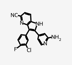 N#Cc1ccc2[nH]c(-c3ccnc(N)c3)c(-c3ccc(F)c(Cl)c3)c2n1